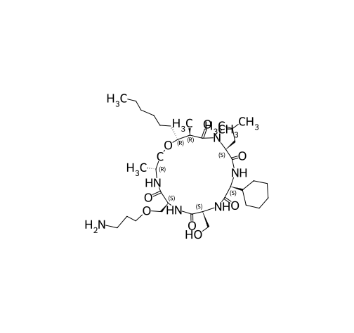 CCCCCC[C@H]1OC[C@@H](C)NC(=O)[C@H](COCCCN)NC(=O)[C@H](CO)NC(=O)[C@H](C2CCCCC2)NC(=O)[C@H](CC(C)C)N(C)C(=O)[C@@H]1C